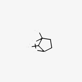 CC12CCC(SS1)C2O